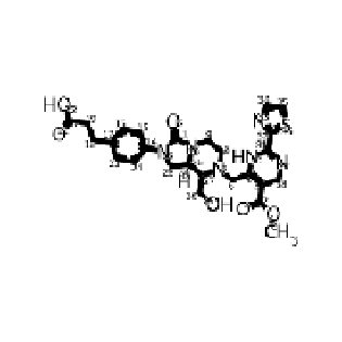 COC(=O)C1=C(CN2CCN3C(=O)N(c4ccc(CCC(=O)O)cc4)C[C@@H]3C2CO)NC(c2nccs2)=NC1